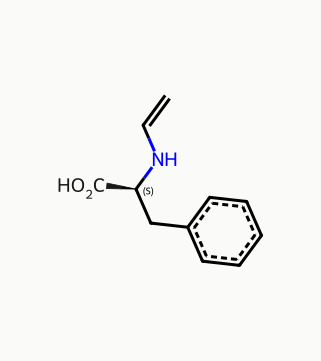 C=CN[C@@H](Cc1ccccc1)C(=O)O